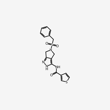 O=C(Nc1[nH]nc2c1CN(S(=O)(=O)Cc1ccccc1)C2)c1ccsc1